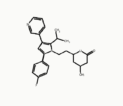 CC(C)c1c(-c2cccnc2)cc(-c2ccc(F)cc2)n1CCC1CC(O)CC(=O)O1